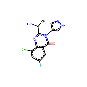 CC(N)c1nc2c(Cl)cc(F)cc2c(=O)n1-c1cn[nH]c1